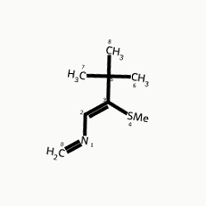 C=N/C=C(\SC)C(C)(C)C